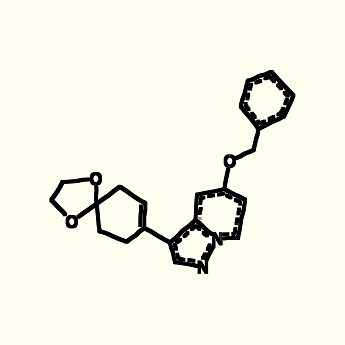 C1=C(c2cnn3ccc(OCc4ccccc4)cc23)CCC2(C1)OCCO2